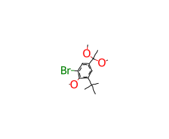 COc1c(Br)cc(C(C)(OC)OC)cc1C(C)(C)C